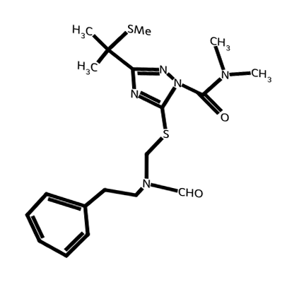 CSC(C)(C)c1nc(SCN(C=O)CCc2ccccc2)n(C(=O)N(C)C)n1